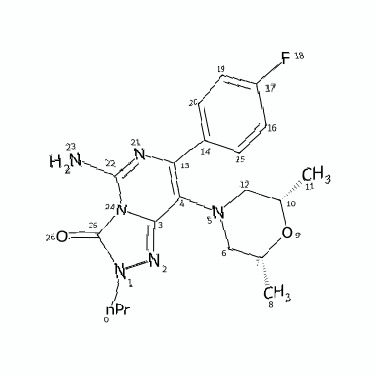 CCCn1nc2c(N3C[C@@H](C)O[C@@H](C)C3)c(-c3ccc(F)cc3)nc(N)n2c1=O